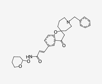 O=C(C=Cc1ccc2c(c1)C(=O)CC1(CCCN(Cc3ccccc3)CC1)O2)NOC1CCCCO1